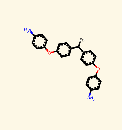 C[C]C(c1ccc(Oc2ccc(N)cc2)cc1)c1ccc(Oc2ccc(N)cc2)cc1